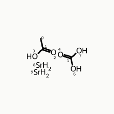 CC(=O)O.O=C(O)O.[SrH2].[SrH2]